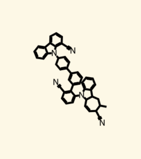 CC1CC2c3ccccc3N(c3cccc(C#N)c3-c3cccc(C4=CCC(n5c6ccccc6c6cccc(C#N)c65)C=C4)c3)C2C=CC1C#N